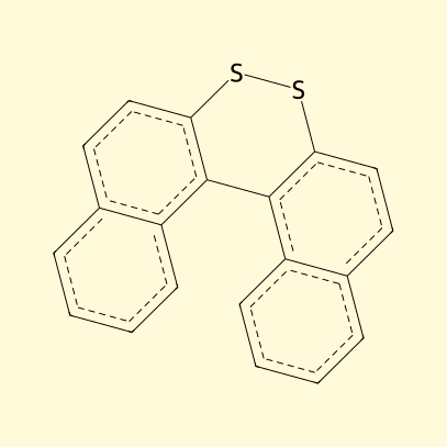 c1ccc2c3c(ccc2c1)SSc1ccc2ccccc2c1-3